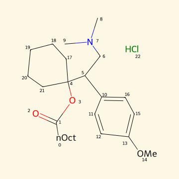 CCCCCCCCC(=O)OC1(C(CN(C)C)c2ccc(OC)cc2)CCCCC1.Cl